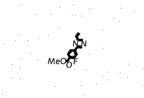 C=Cc1cncc(-c2ccc(C(=O)OC)c(F)c2)n1